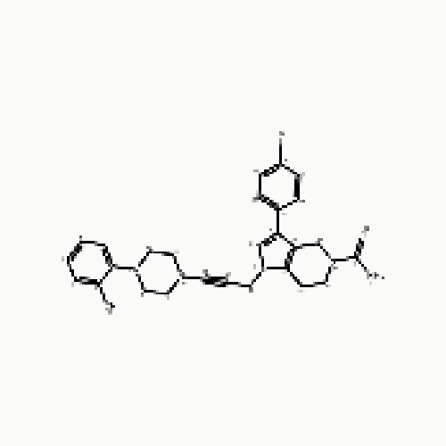 N#Cc1ccccc1N1CCN(C#CCn2nc(-c3ccc(I)cc3)c3c2CCN(C(N)=O)C3)CC1